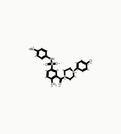 CCCCc1ccc(NS(=O)(=O)c2ccc(C)c(C(=O)N3CCN(c4ccc(Cl)cc4)CC3)c2)cc1